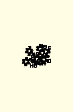 CCOc1ccc(Cc2cc([C@]3(OC)OC(CO)(CO)[C@@H](OCc4ccccc4)[C@H](OCc4ccccc4)[C@H]3OCc3ccccc3)ccc2Cl)cc1F